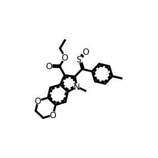 CCOC(=O)c1c(C(=S=O)c2ccc(C)cc2)n(C)c2cc3c(cc12)OCCO3